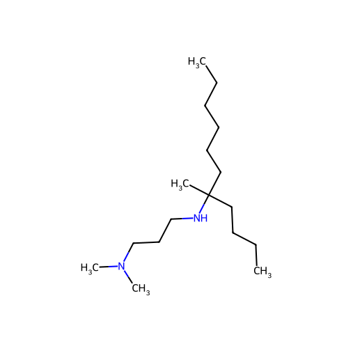 CCCCCCC(C)(CCCC)NCCCN(C)C